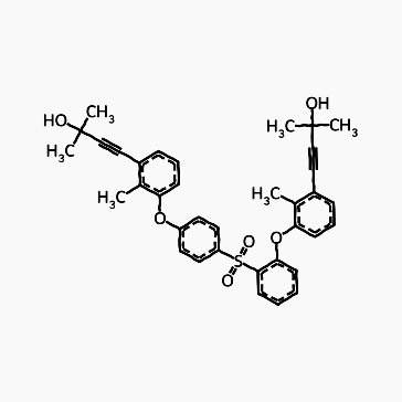 Cc1c(C#CC(C)(C)O)cccc1Oc1ccc(S(=O)(=O)c2ccccc2Oc2cccc(C#CC(C)(C)O)c2C)cc1